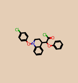 O=C(Cl)C(Oc1ccccc1)C1CCN(Oc2ccc(Cl)cc2)c2ccccc21